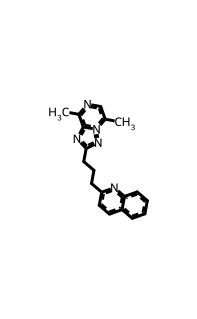 Cc1ncc(C)n2nc(CCCc3ccc4ccccc4n3)nc12